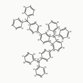 c1ccc(N(c2ccccc2)c2ccc(-c3ccc4c(c3)[Si](c3ccccc3)(c3ccccc3)c3cccc(-c5ccc(N(c6ccccc6)c6ccccc6)cc5)c3-4)cc2)cc1